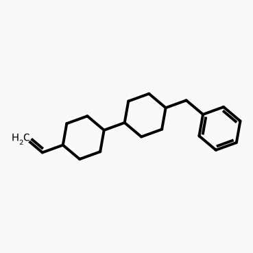 C=CC1CCC(C2CCC(Cc3ccccc3)CC2)CC1